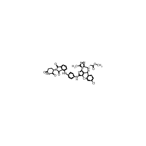 COC(=O)C[C@@H]1N=C(c2ccc(Cl)cc2)c2c(sc(Nc3ccc(Nc4cccc5c4C(=O)N(C4CCC(=O)NC4=O)C5=O)cc3)c2C)-n2c(C)nnc21